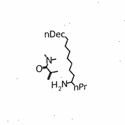 C=C(C)C(=O)N(C)C.CCCCCCCCCCCCCCCCCC(N)CCC